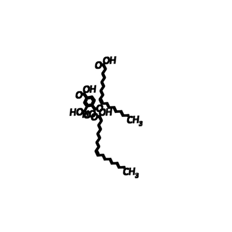 CCCCCCCC/C=C\CCCCCCCC(=O)O.CCCCCCCC/C=C\CCCCCCCC(=O)O.O=C(O)c1ccc(C(=O)O)c(C(=O)O)c1